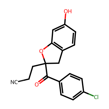 N#CCCC1(C(=O)c2ccc(Cl)cc2)Cc2ccc(O)cc2O1